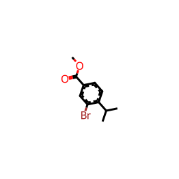 COC(=O)c1ccc(C(C)C)c(Br)c1